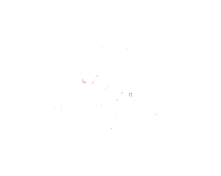 Cc1ccc2c(c1)-c1cc(C(F)(F)F)cc3c1B2c1cc2c(-c4c(-c5ccccc5)cccc4-c4ccccc4)cc4c5c(cc6c(-c7c(-c8ccccc8)cccc7-c7ccccc7)cc-3c1c6c25)B1c2ccc(C(F)(F)F)cc2-c2cc(C)cc-4c21